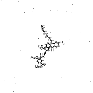 COC(=O)c1ccc(OC)c(NCC#Cc2cc3c(NC4CCN(C)CC4CCOCCOCCN=[N+]=[N-])cccc3n2CC(F)(F)F)c1